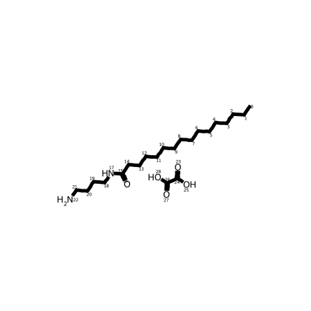 CCCCCCCCCCCCCCCC(=O)NCCCCN.O=C(O)C(=O)O